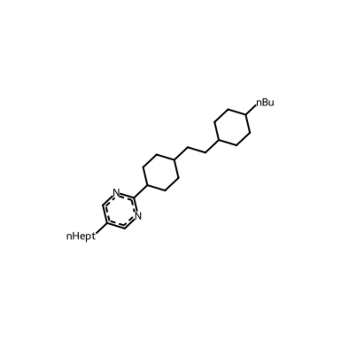 CCCCCCCc1cnc(C2CCC(CCC3CCC(CCCC)CC3)CC2)nc1